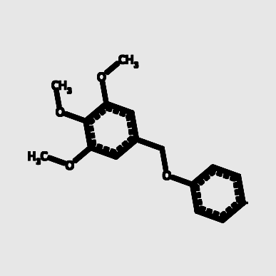 COc1cc(COc2cc[c]cc2)cc(OC)c1OC